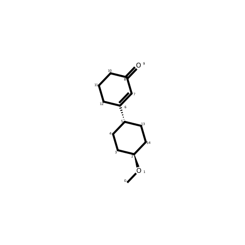 CO[C@H]1CC[C@H](C2=CC(=O)CCC2)CC1